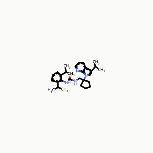 CC(C)c1cccc(C(C)C)c1NC(=O)NCC1(n2cc(C(C)C)c3cccnc32)CCCC1